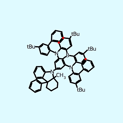 CC(C)(C)c1ccc2c(c1)B1c3cc(C(C)(C)C)ccc3N(c3ccc(C(C)(C)C)cc3-c3ccccc3)c3cc(N4c5ccccc5C5(c6ccccc6)CCCCC45C)cc(c31)N2c1ccc(C(C)(C)C)cc1-c1ccccc1